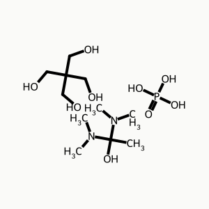 CN(C)C(C)(O)N(C)C.O=P(O)(O)O.OCC(CO)(CO)CO